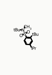 CC(C)c1ccc(S(=O)(=O)N(C)C(C)(C)C)c(C(C)(C)C)c1